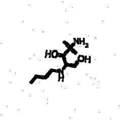 CCCCNC(CO)C(O)C(C)(C)N